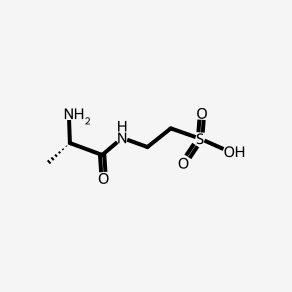 C[C@H](N)C(=O)NCCS(=O)(=O)O